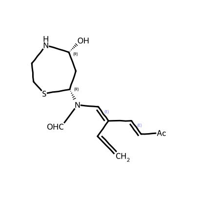 C=CC(/C=C/C(C)=O)=C\N(C=O)[C@H]1C[C@@H](O)NCCS1